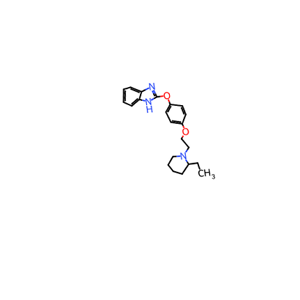 CCC1CCCCN1CCOc1ccc(Oc2nc3ccccc3[nH]2)cc1